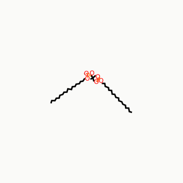 CCCCCCCCCCCCCCCCCCOP1OCC(C)(C(=O)P(OC)OCCCCCCCCCCCCCCCCCC)CO1